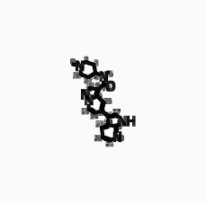 CN1CCC(N(C)C(=O)c2cnn3ccc(-c4c[nH]c5ncccc45)cc23)CC1